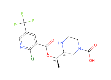 C[C@@H](OC(=O)c1cc(C(F)(F)F)cnc1Cl)[C@H]1CN(C(=O)O)CCN1